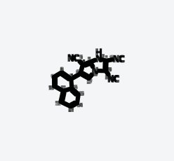 [C-]#[N+]c1[nH]c2c(C#N)c(-c3cccc4ccccc34)cn2c1[N+]#[C-]